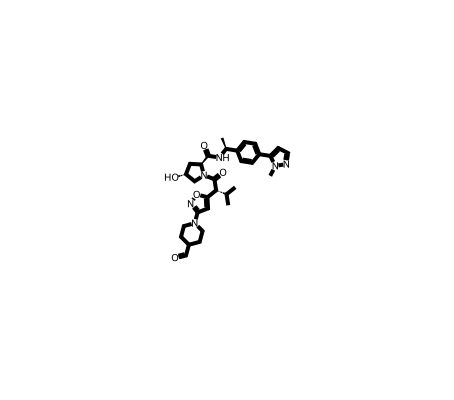 CC(C)[C@@H](C(=O)N1C[C@H](O)C[C@H]1C(=O)N[C@@H](C)c1ccc(-c2ccnn2C)cc1)c1cc(N2CCC(C=O)CC2)no1